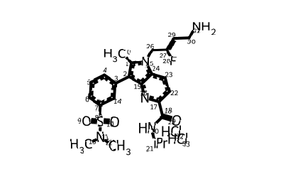 Cc1c(-c2cccc(S(=O)(=O)N(C)C)c2)c2nc(C(=O)NC(C)C)ccc2n1CC(F)=CCN.Cl.Cl